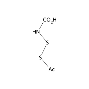 CC(=O)SSNC(=O)O